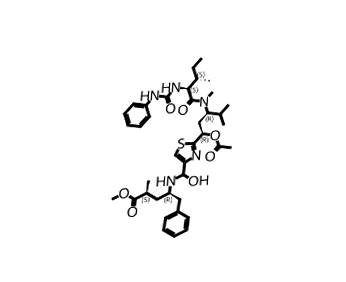 CC[C@H](C)[C@H](NC(=O)Nc1ccccc1)C(=O)N(C)[C@H](C[C@@H](OC(C)=O)c1nc(C(O)N[C@@H](Cc2ccccc2)C[C@H](C)C(=O)OC)cs1)C(C)C